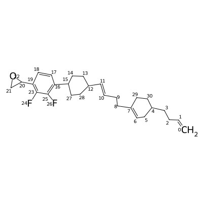 C=CCCC1CC=C(CC/C=C/C2CCC(c3ccc(C4CO4)c(F)c3F)CC2)CC1